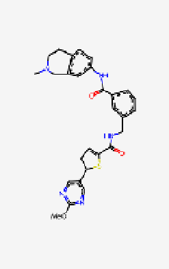 COc1ncc(C2CC=C(C(=O)NCc3cccc(C(=O)Nc4ccc5c(c4)CN(C)CC5)c3)S2)cn1